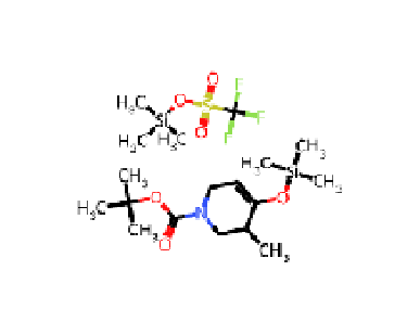 CC1CN(C(=O)OC(C)(C)C)CC=C1O[Si](C)(C)C.C[Si](C)(C)OS(=O)(=O)C(F)(F)F